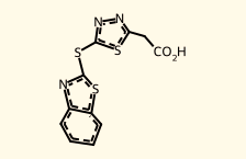 O=C(O)Cc1nnc(Sc2nc3ccccc3s2)s1